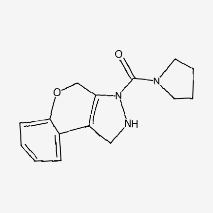 O=C(N1CCCC1)N1NCC2=C1COc1ccccc12